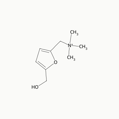 C[N+](C)(C)Cc1ccc(CO)o1